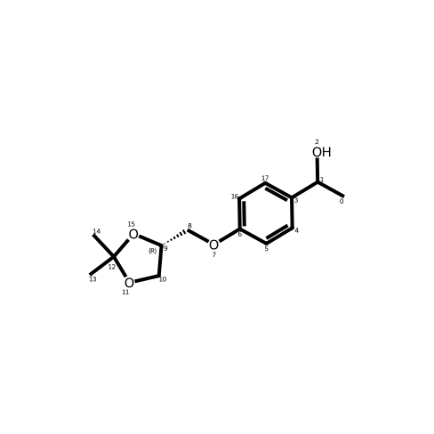 CC(O)c1ccc(OC[C@@H]2COC(C)(C)O2)cc1